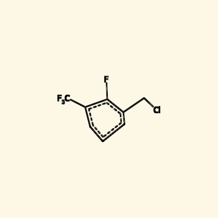 Fc1c(CCl)cccc1C(F)(F)F